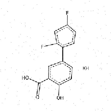 O=C(O)c1cc(-c2ccc(F)cc2F)ccc1O.[KH]